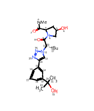 CNC(=O)C1CC(O)CN1C(=O)[C@@H](n1cc(-c2cccc(C(C)(C)O)c2)nn1)C(C)(C)C